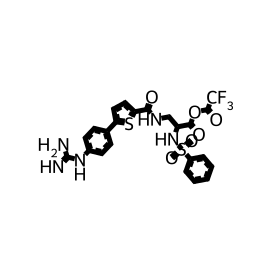 N=C(N)Nc1ccc(-c2ccc(C(=O)NCC(NS(=O)(=O)c3ccccc3)C(=O)OC(=O)C(F)(F)F)s2)cc1